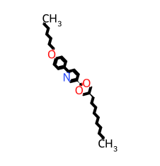 CCCCCCCCCC[C@H]1CO[C@H](c2ccc(-c3ccc(OCCCCCCC)cc3)nc2)OC1